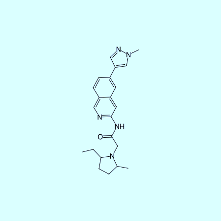 CCC1CCC(C)N1CC(=O)Nc1cc2cc(-c3cnn(C)c3)ccc2cn1